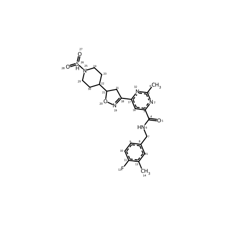 Cc1nc(C(=O)NCc2ccc(F)c(C)c2)cc(C2=NOC(C3CCN([SH](=O)=O)CC3)C2)n1